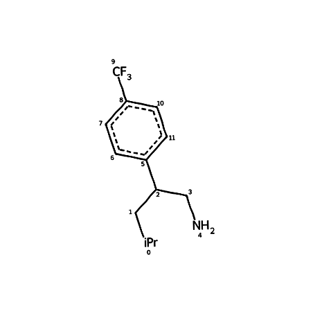 CC(C)CC(CN)c1ccc(C(F)(F)F)cc1